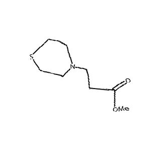 COC(=O)CCN1CCSCC1